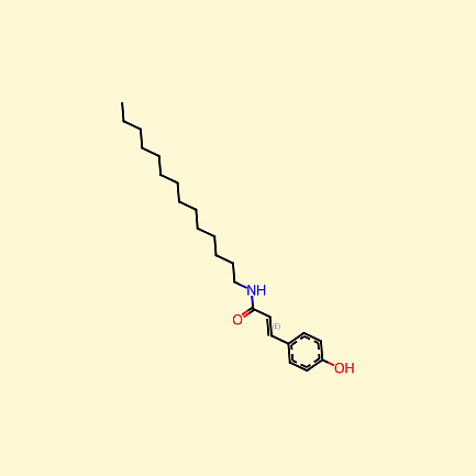 CCCCCCCCCCCCCCNC(=O)/C=C/c1ccc(O)cc1